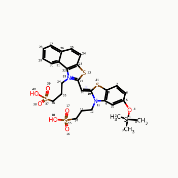 C[Si](C)(C)Oc1ccc2c(c1)N(CCCS(=O)(=O)O)/C(=C/c1sc3ccc4ccccc4c3[n+]1CCCS(=O)(=O)O)S2